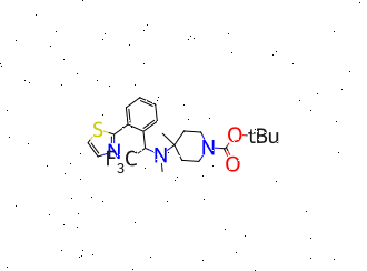 CN(C(c1ccccc1-c1nccs1)C(F)(F)F)C1(C)CCN(C(=O)OC(C)(C)C)CC1